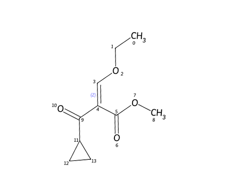 CCO/C=C(\C(=O)OC)C(=O)C1CC1